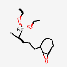 CCO[SiH](OCC)C(C)CCCC1CCCC2OC12